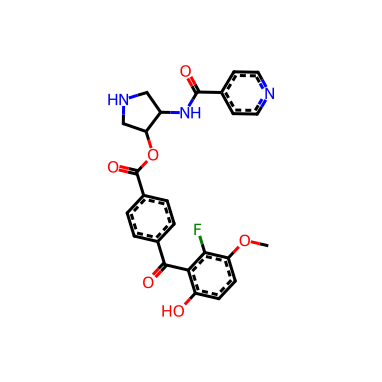 COc1ccc(O)c(C(=O)c2ccc(C(=O)OC3CNCC3NC(=O)c3ccncc3)cc2)c1F